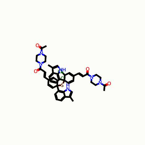 CC(=O)N1CCN(C(=O)/C=C/C2=CC(Cl)C(SC3(c4cccc5c(C)c[nH]c45)C=CC(/C=C/C(=O)N4CCN(C(C)=O)CC4)=CC3Cl)(c3cccc4c(C)c[nH]c34)C=C2)CC1